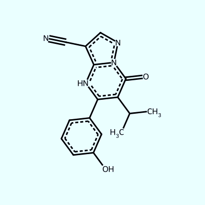 CC(C)c1c(-c2cccc(O)c2)[nH]c2c(C#N)cnn2c1=O